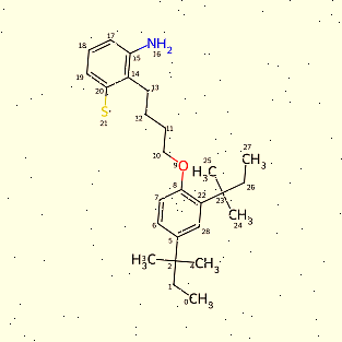 CCC(C)(C)c1ccc(OCCC[CH]c2c(N)cccc2[S])c(C(C)(C)CC)c1